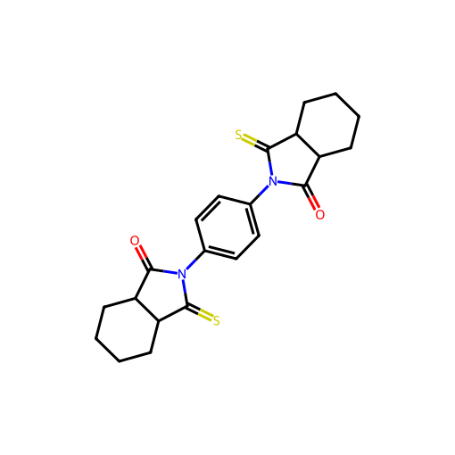 O=C1C2CCCCC2C(=S)N1c1ccc(N2C(=O)C3CCCCC3C2=S)cc1